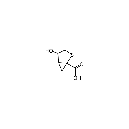 O=C(O)C12CC1C(O)CS2